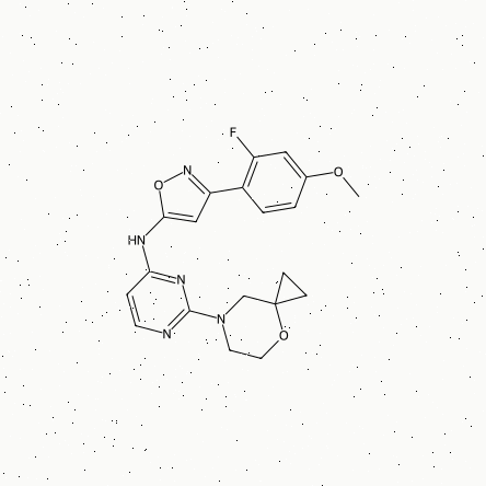 COc1ccc(-c2cc(Nc3ccnc(N4CCOC5(CC5)C4)n3)on2)c(F)c1